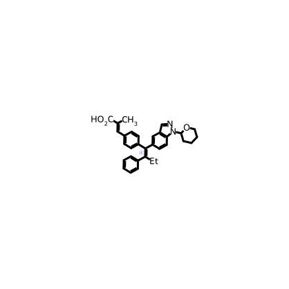 CC/C(=C(/c1ccc(C=C(C)C(=O)O)cc1)c1ccc2c(cnn2C2CCCCO2)c1)c1ccccc1